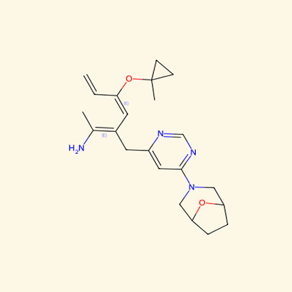 C=C/C(=C\C(Cc1cc(N2CC3CCC(C2)O3)ncn1)=C(/C)N)OC1(C)CC1